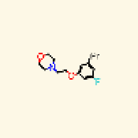 CC(C)c1cc(F)cc(OCCN2CCOCC2)c1